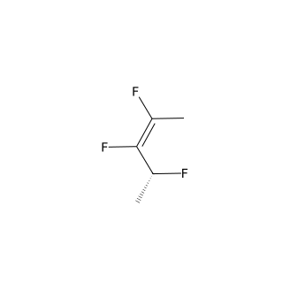 C/C(F)=C(/F)[C@@H](C)F